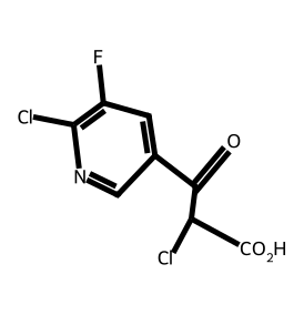 O=C(O)C(Cl)C(=O)c1cnc(Cl)c(F)c1